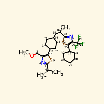 COCc1nc(C(C)C)sc1C1CCC(CC(C)c2nc(C(F)(F)F)c(C3CCCCC3)s2)CC1